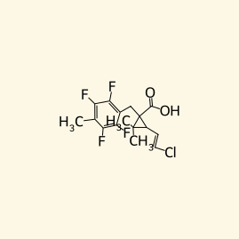 Cc1c(F)c(F)c(CC2(C(=O)O)C(C=CCl)C2(C)C)c(F)c1F